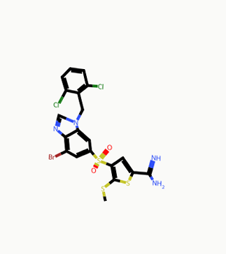 CSc1sc(C(=N)N)cc1S(=O)(=O)c1cc(Br)c2ncn(Cc3c(Cl)cccc3Cl)c2c1